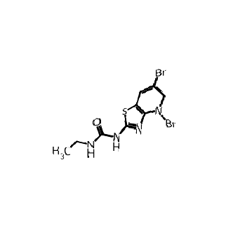 CCNC(=O)Nc1nc2c(s1)C=C(Br)CN2Br